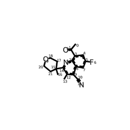 CC(=O)c1cc(F)cc2c(C#N)c(C)c(C3(C)CCOCC3)nc12